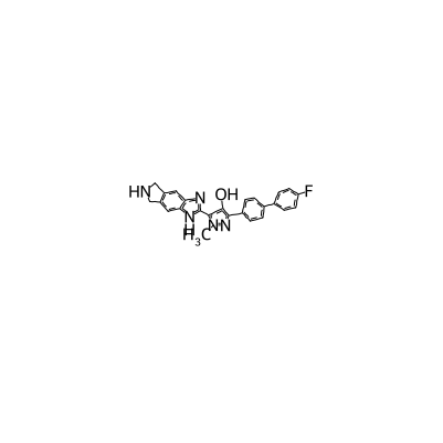 Cn1nc(-c2ccc(-c3ccc(F)cc3)cc2)c(O)c1-c1nc2cc3c(cc2[nH]1)CNC3